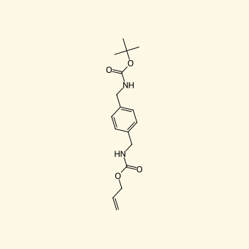 C=CCOC(=O)NCc1ccc(CNC(=O)OC(C)(C)C)cc1